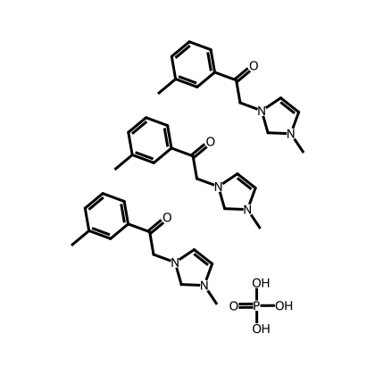 Cc1cccc(C(=O)CN2C=CN(C)C2)c1.Cc1cccc(C(=O)CN2C=CN(C)C2)c1.Cc1cccc(C(=O)CN2C=CN(C)C2)c1.O=P(O)(O)O